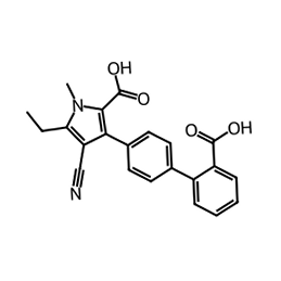 CCc1c(C#N)c(-c2ccc(-c3ccccc3C(=O)O)cc2)c(C(=O)O)n1C